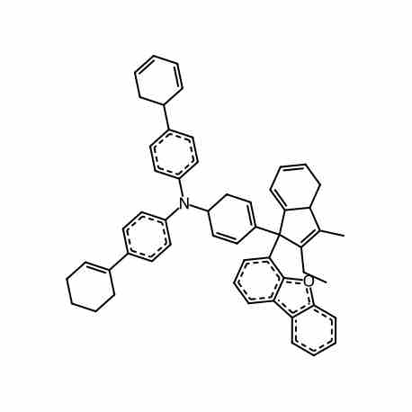 CCC1=C(C)C2CC=CC=C2C1(C1=CCC(N(c2ccc(C3=CCCCC3)cc2)c2ccc(C3C=CC=CC3)cc2)C=C1)c1cccc2c1oc1ccccc12